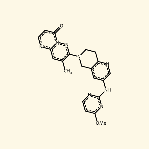 COc1ccnc(Nc2cnc3c(c2)CN(c2nn4c(=O)ccnc4cc2C)CC3)n1